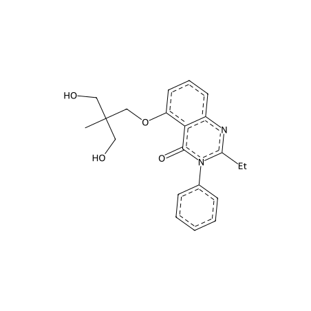 CCc1nc2cccc(OCC(C)(CO)CO)c2c(=O)n1-c1ccccc1